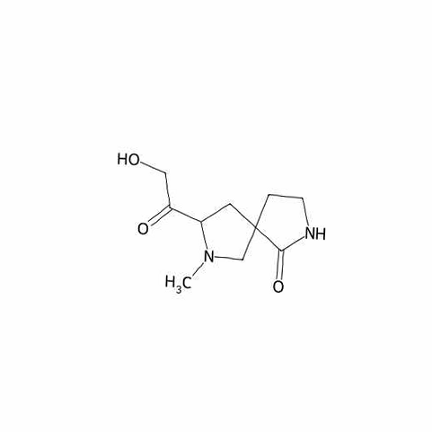 CN1CC2(CCNC2=O)CC1C(=O)CO